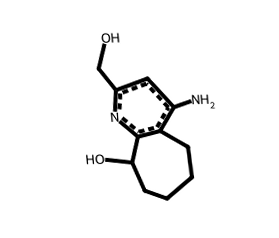 Nc1cc(CO)nc2c1CCCCC2O